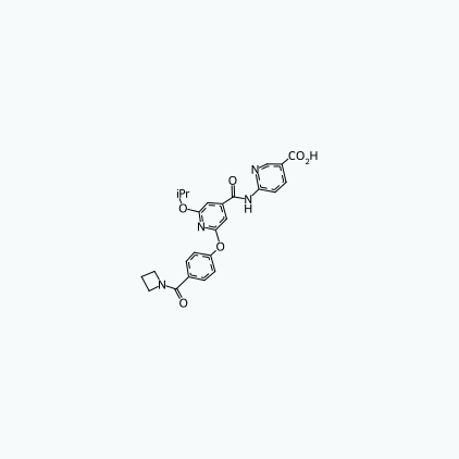 CC(C)Oc1cc(C(=O)Nc2ccc(C(=O)O)cn2)cc(Oc2ccc(C(=O)N3CCC3)cc2)n1